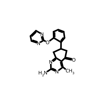 Cc1nc(N)nc2c1C(=O)CC(c1ccccc1Oc1ncccn1)C2